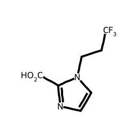 O=C(O)c1nccn1CCC(F)(F)F